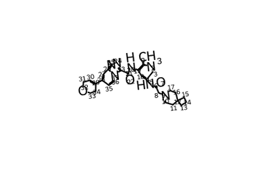 Cc1ncc(NC(=O)CN2CCC3(CCC3)CC2)cc1NC(=O)c1nnc2cc(C3=CCOCC3)ccn12